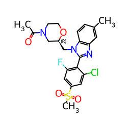 CC(=O)N1CCO[C@@H](Cn2c(-c3c(F)cc(S(C)(=O)=O)cc3Cl)nc3cc(C)ccc32)C1